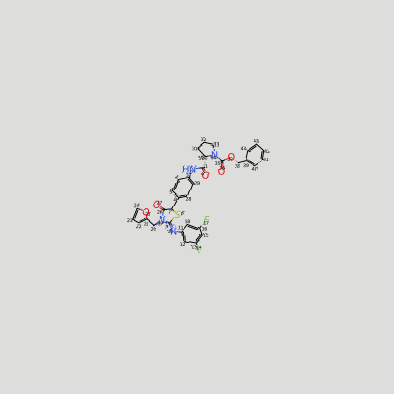 O=C(Nc1ccc(C2S/C(=N\c3cc(F)cc(F)c3)N(Cc3ccco3)C2=O)cc1)[C@@H]1CCCN1C(=O)OCc1ccccc1